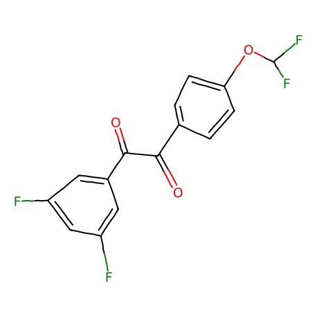 O=C(C(=O)c1cc(F)cc(F)c1)c1ccc(OC(F)F)cc1